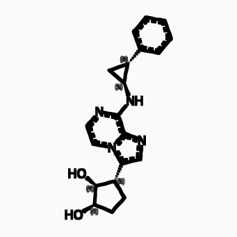 O[C@@H]1[C@H](O)CC[C@H]1c1cnc2c(N[C@H]3C[C@@H]3c3ccccc3)nccn12